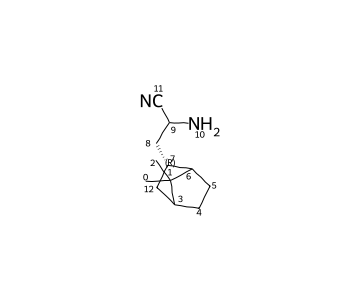 CC1(C)C2CCC1[C@@H](CC(N)C#N)C2